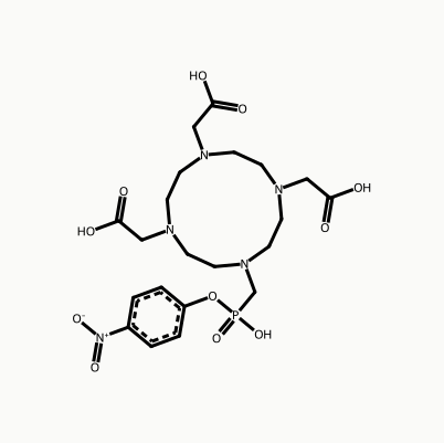 O=C(O)CN1CCN(CC(=O)O)CCN(CP(=O)(O)Oc2ccc([N+](=O)[O-])cc2)CCN(CC(=O)O)CC1